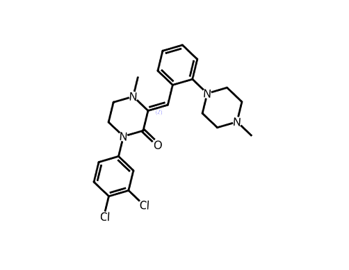 CN1CCN(c2ccccc2/C=C2/C(=O)N(c3ccc(Cl)c(Cl)c3)CCN2C)CC1